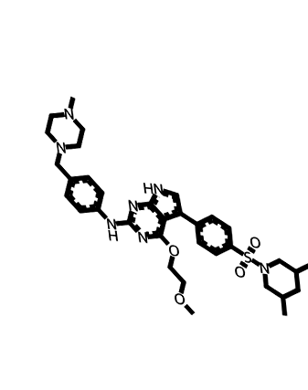 COCCOc1nc(Nc2ccc(CN3CCN(C)CC3)cc2)nc2[nH]cc(-c3ccc(S(=O)(=O)N4CC(C)CC(C)C4)cc3)c12